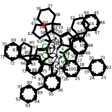 C[SiH](C)[Zr]([Cl])([Cl])([CH]1C(CC2(C)CCCCC2)=Cc2c(-c3ccccc3)cccc21)([CH]1C(CC2(C)CCCCC2)=Cc2c(-c3ccccc3)cccc21)[Zr]([Cl])([Cl])([CH]1C(CC2(C)CCCC2)=Cc2c(-c3ccccc3)cccc21)([CH]1C(CC2(C)CCCC2)=Cc2c(-c3ccccc3)cccc21)[SiH](C)C